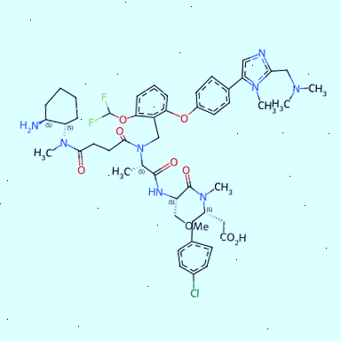 COC[C@H](NC(=O)[C@H](C)N(Cc1c(Oc2ccc(-c3cnc(CN(C)C)n3C)cc2)cccc1OC(F)F)C(=O)CCC(=O)N(C)[C@H]1CCCC[C@@H]1N)C(=O)N(C)[C@H](CC(=O)O)Cc1ccc(Cl)cc1